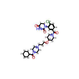 O=C1CCN(c2cc(C(=O)N3CCC(OCCCN4CCN(C(=O)C5CCCCC5)CC4)CC3)ccc2Cl)C(=O)N1